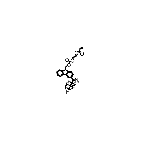 C=CC(=O)OCCOC(=O)OCC1c2ccccc2-c2cc(/C(=N/C)C(F)(F)C(F)(F)C(F)(F)F)ccc21